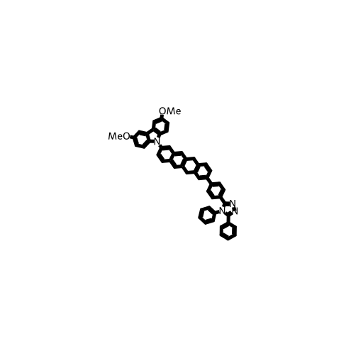 COc1ccc2c(c1)c1cc(OC)ccc1n2-c1ccc2cc3c(cc2c1)Cc1ccc(-c2ccc(-c4nnc(-c5ccccc5)n4-c4ccccc4)cc2)cc1C3